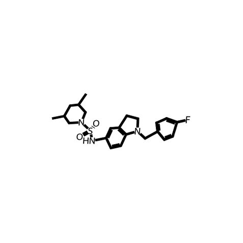 CC1CC(C)CN(S(=O)(=O)Nc2ccc3c(c2)CCN3Cc2ccc(F)cc2)C1